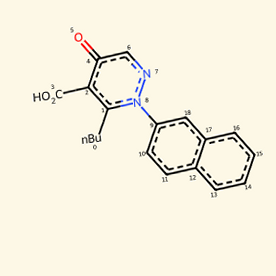 CCCCc1c(C(=O)O)c(=O)cnn1-c1ccc2ccccc2c1